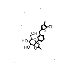 CC1=NC2(c3cccc(Cc4cc(C)c(Cl)s4)c3)O[C@H](CO)[C@@H](O)[C@H](O)C2O1